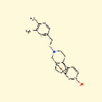 Cc1ccc(CCN2CCC34CCCC3(CCc3cc(O)ccc34)C2)cc1C